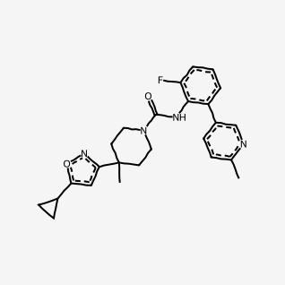 Cc1ccc(-c2cccc(F)c2NC(=O)N2CCC(C)(c3cc(C4CC4)on3)CC2)cn1